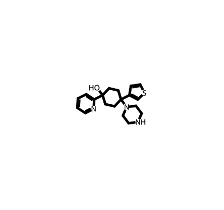 OC1(c2ccccn2)CCC(c2ccsc2)(N2CCNCC2)CC1